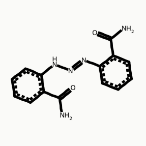 NC(=O)c1ccccc1N=NNc1ccccc1C(N)=O